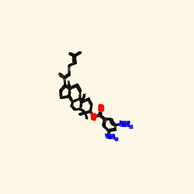 CC(C)=CCCC(C)C1CCC2C3CCC4C(C)(C)C(OC(=O)c5cc(N)cc(N)c5)CC[C@@]4(C)C3CCC12C